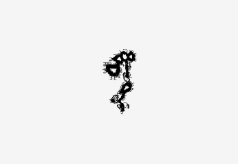 CCOC(=O)C(Cc1ccc(OCCOC2c3ccccc3C=Cc3ccc(-c4ccccc4)cc32)cc1)OC